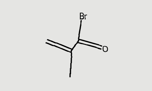 C=C(C)C(=O)Br